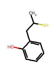 CC(S)Cc1ccccc1O